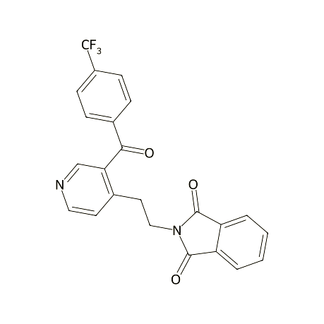 O=C(c1ccc(C(F)(F)F)cc1)c1cnccc1CCN1C(=O)c2ccccc2C1=O